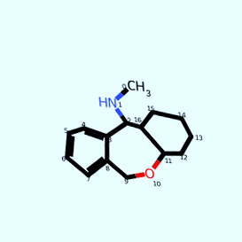 CNC1c2ccccc2COC2CCCCC21